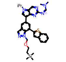 CC(C)n1cc(-c2cc(-c3cc4ccccc4s3)c3c(cnn3COCC[Si](C)(C)C)c2)c2nc(/N=C\N(C)C)ncc21